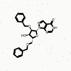 O=c1[nH]cnc2c1cnn2[C@@H]1O[C@H](COCc2ccccc2)[C@@H](O)[C@H]1OCc1ccccc1